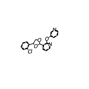 Clc1ccccc1C1COC(c2cccnc2Oc2cccnc2)O1